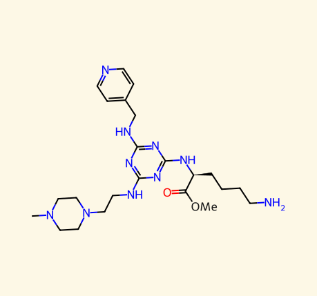 COC(=O)[C@H](CCCCN)Nc1nc(NCCN2CCN(C)CC2)nc(NCc2ccncc2)n1